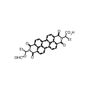 CCC(OC=O)N1C(=O)c2ccc3c4ccc5c6c(ccc(c7ccc(c2c37)C1=O)c64)C(=O)N(C(CC)C(=O)O)C5=O